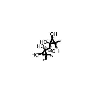 CC1(C)C(O)[C@@]1(O)[C@@H](O)[C@@]1(O)C(O)C1(C)C